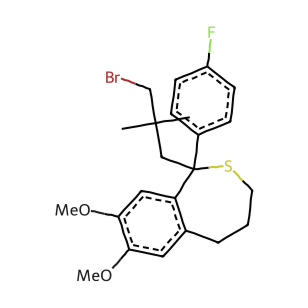 COc1cc2c(cc1OC)C(CC(C)(C)CBr)(c1ccc(F)cc1)SCCC2